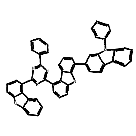 c1ccc(-c2nc(-c3cccc4oc5ccccc5c34)nc(-c3cccc4sc5c(-c6ccc7c8ccccc8n(-c8ccccc8)c7c6)cccc5c34)n2)cc1